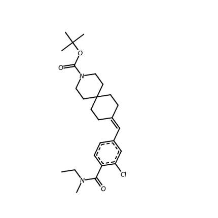 CCN(C)C(=O)c1ccc(C=C2CCC3(CC2)CCN(C(=O)OC(C)(C)C)CC3)cc1Cl